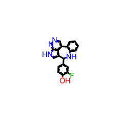 Oc1ccc(C2Nc3ccccc3-c3cnnc4[nH]cc2c34)cc1F